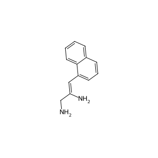 NCC(N)=Cc1cccc2ccccc12